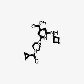 O=C(O)c1cc(NC2CCC2)nc(N2CCN(C(=O)C3CC3)CC2)c1